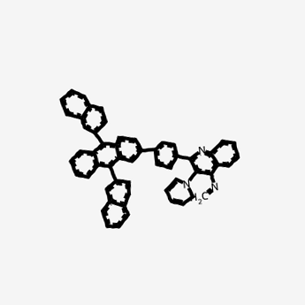 C=Nc1c(N2C=CC=CC2)c(-c2ccc(-c3ccc4c(-c5ccc6ccccc6c5)c5ccccc5c(-c5ccc6ccccc6c5)c4c3)cc2)nc2ccccc12